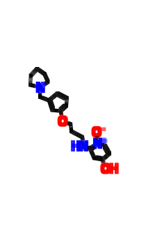 [O-][n+]1ccc(O)cc1NCCCOc1cccc(CN2CCCCC2)c1